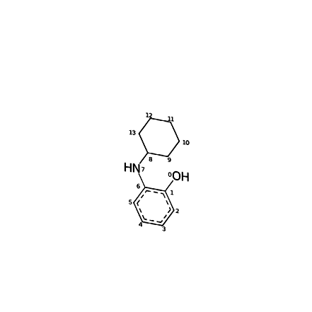 Oc1ccccc1NC1CCCCC1